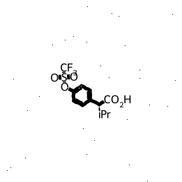 CC(C)[C@@H](C(=O)O)c1ccc(OS(=O)(=O)C(F)(F)F)cc1